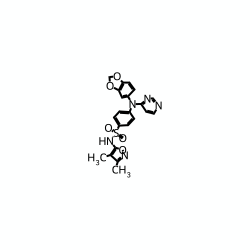 Cc1noc(NS(=O)(=O)c2ccc(N(c3ccc4c(c3)OCO4)c3ccncn3)cc2)c1C